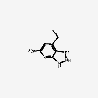 CCc1cc(N)nc2c1NNN2